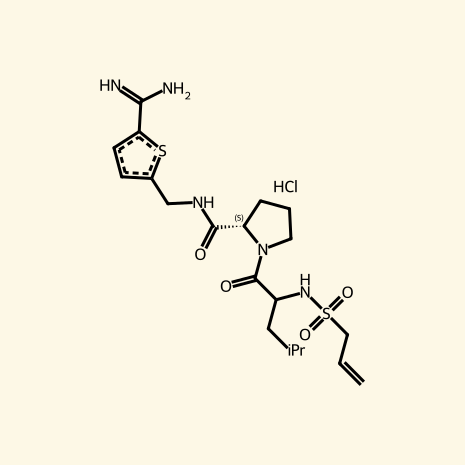 C=CCS(=O)(=O)NC(CC(C)C)C(=O)N1CCC[C@H]1C(=O)NCc1ccc(C(=N)N)s1.Cl